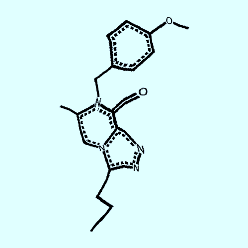 CCCc1nnc2c(=O)n(Cc3ccc(OC)cc3)c(C)cn12